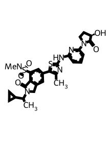 CNS(=O)(=O)c1cc(-c2sc(Nc3cccc(N4CC[C@@H](O)C4=O)n3)nc2C)cc2c1C(=O)N(C(C)C1CC1)C2